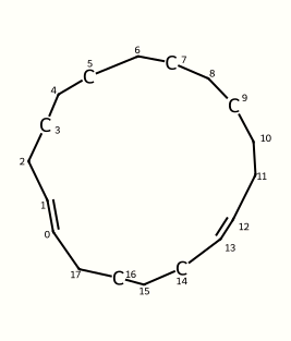 C1=C/CCCCCCCCCC/C=C/CCCC/1